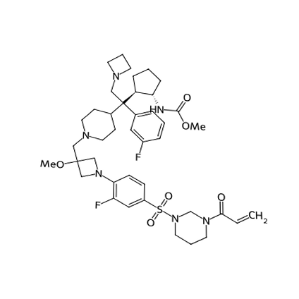 C=CC(=O)N1CCCN(S(=O)(=O)c2ccc(N3CC(CN4CCC(C(CN5CCC5)(c5cccc(F)c5)[C@H]5CCC[C@@H]5NC(=O)OC)CC4)(OC)C3)c(F)c2)C1